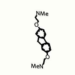 CNCCOc1ccc2c(c1)Cc1cc(OCCNC)ccc1-2